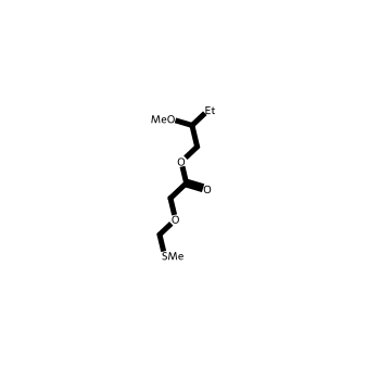 CCC(COC(=O)COCSC)OC